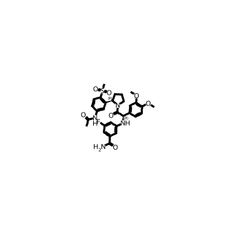 COc1ccc([C@@H](Nc2cc(F)cc(C(N)=O)c2)C(=O)N2CCC[C@@H]2c2cc(NC(C)=O)ccc2S(C)(=O)=O)cc1OC